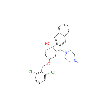 CN1CCN(CC2CC(OCc3c(Cl)cccc3Cl)CCC2(O)c2ccc3ccccc3c2)CC1